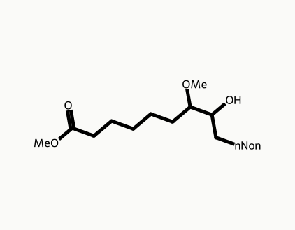 CCCCCCCCCCC(O)C(CCCCCC(=O)OC)OC